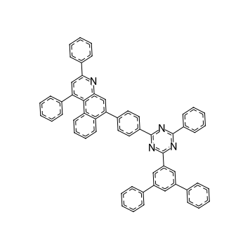 c1ccc(-c2cc(-c3ccccc3)cc(-c3nc(-c4ccccc4)nc(-c4ccc(-c5cc6nc(-c7ccccc7)cc(-c7ccccc7)c6c6ccccc56)cc4)n3)c2)cc1